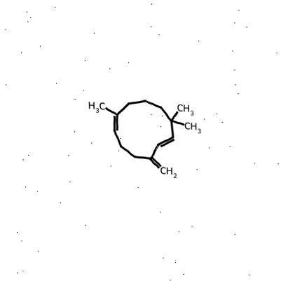 C=C1/C=C/C(C)(C)CCC/C(C)=C\CC1